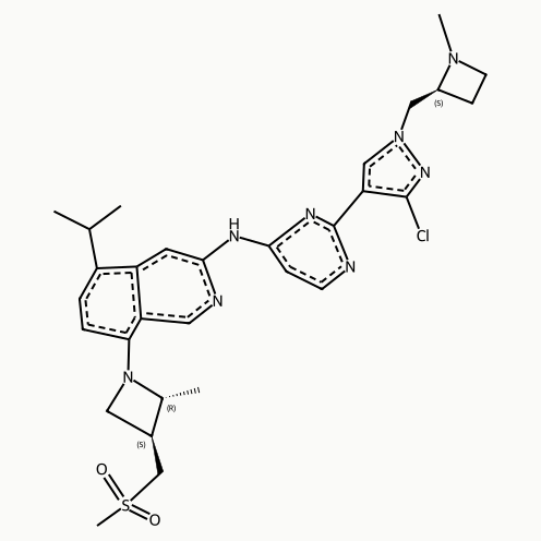 CC(C)c1ccc(N2C[C@H](CS(C)(=O)=O)[C@H]2C)c2cnc(Nc3ccnc(-c4cn(C[C@@H]5CCN5C)nc4Cl)n3)cc12